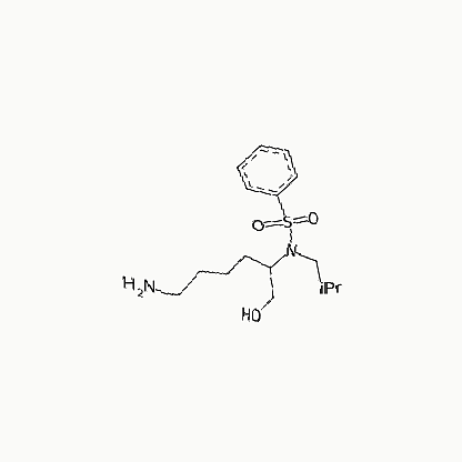 CC(C)CN(C(CO)CCCCN)S(=O)(=O)c1ccccc1